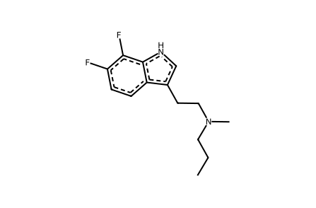 CCCN(C)CCc1c[nH]c2c(F)c(F)ccc12